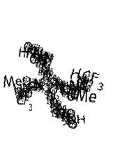 COc1cc2nn([C@@H]3CC[C@@H](CN4CCN(c5cccn6c(N7CCC(=O)NC7=O)cnc56)CC4)C(C4C[C@@H](n5cc6cc(NC(=O)c7cccc(C(F)(F)F)n7)c(OC)cc6n5)CC[C@@H]4CN4CCN(c5ccn6c(N7CCC(=O)NC7=O)cnc6c5)CC4)C3)cc2cc1NC(=O)c1cccc(C(F)(F)F)n1